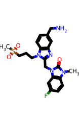 Cn1c(=O)n(Cc2nc3cc(CN)ccc3n2CCCS(C)(=O)=O)c2cc(F)ccc21